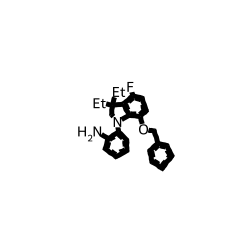 CCC1(CC)CN(c2ccccc2N)c2c(OCc3ccccc3)ccc(F)c21